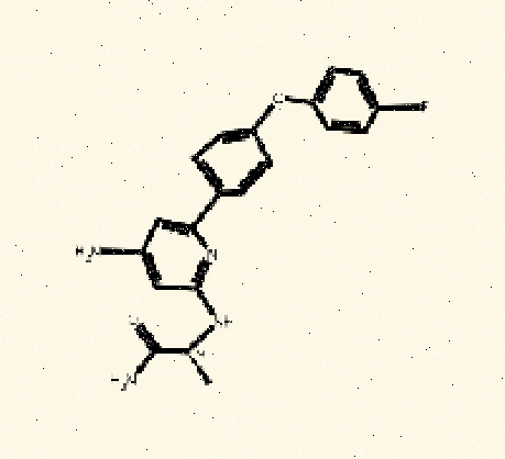 C[C@H](Nc1cc(N)cc(-c2ccc(Oc3ccc(F)cc3)cc2)n1)C(N)=O